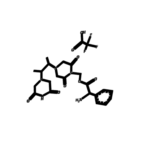 CC(C(C)N1CC(=O)N(COC(=O)C(N)c2ccccc2)C(=O)C1)N1CC(=O)NC(=O)C1.O=C(O)C(F)(F)F